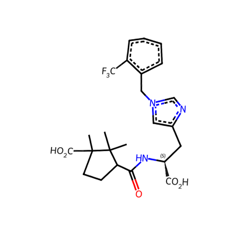 CC1(C(=O)O)CCC(C(=O)N[C@@H](Cc2cn(Cc3ccccc3C(F)(F)F)cn2)C(=O)O)C1(C)C